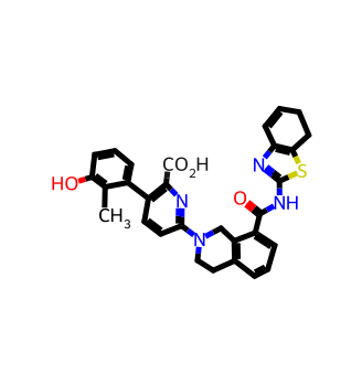 Cc1c(O)cccc1-c1ccc(N2CCc3cccc(C(=O)Nc4nc5c(s4)CCC=C5)c3C2)nc1C(=O)O